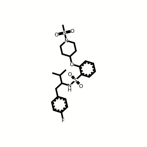 CC(C)C(Cc1ccc(F)cc1)NS(=O)(=O)c1ccccc1OC1CCN(S(C)(=O)=O)CC1